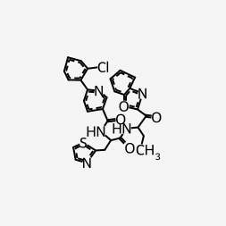 CCC(NC(=O)C(Cc1nccs1)NC(=O)c1ccc(-c2ccccc2Cl)nc1)C(=O)c1nc2ccccc2o1